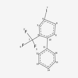 FC(F)(F)c1cc(I)ccc1-c1ccccc1